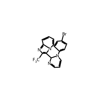 FC(F)(F)c1nc2ccccn2c1C1N=CC=CN1c1ccc(Br)cc1